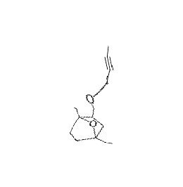 CC#CCOC1CC2(C)CCC1(C)O2